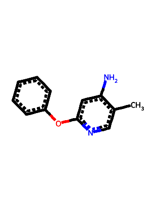 Cc1cnc(Oc2ccccc2)cc1N